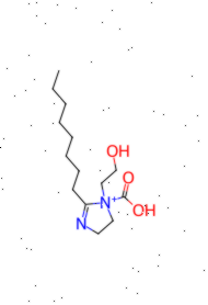 CCCCCCCCC1=NCC[N+]1(CCO)C(=O)O